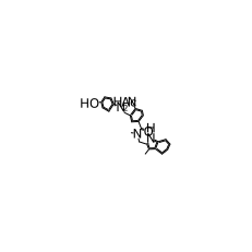 CC(=O)N(Cc1cc(C(=O)N(C)Cc2[nH]c3ccccc3c2C)ccc1N)c1ccc(O)cc1